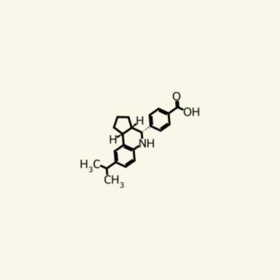 CC(C)c1ccc2c(c1)[C@@H]1CCC[C@@H]1[C@H](c1ccc(C(=O)O)cc1)N2